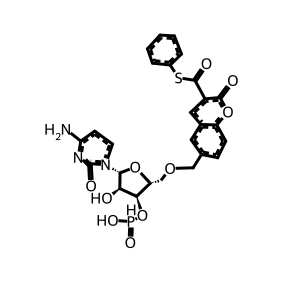 Nc1ccn([C@@H]2O[C@H](COCc3ccc4oc(=O)c(C(=O)Sc5ccccc5)cc4c3)[C@@H](O[PH](=O)O)[C@H]2O)c(=O)n1